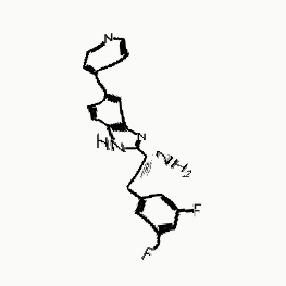 N[C@H](Cc1cc(F)cc(F)c1)c1nc2cc(-c3ccncc3)ccc2[nH]1